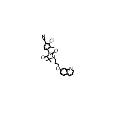 Cc1c(N2C(=O)N(CCCOc3ccc4cccnc4c3)C(C)(C)C2=O)ccc(C#N)c1Cl